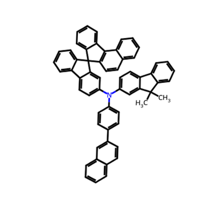 CC1(C)c2ccccc2-c2ccc(N(c3ccc(-c4ccc5ccccc5c4)cc3)c3ccc4c(c3)C3(c5ccccc5-4)c4ccccc4-c4c3ccc3ccccc43)cc21